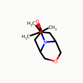 CC(C)(C)N1C2COCC1CC(=O)C2